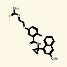 CNC(=O)OCCOc1ccc(C)c(C(=O)NC2(c3cc(OC)cc4ccccc34)CC2)c1